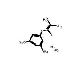 COc1cc([O][Ti]([F])=[C](C)C)cc(C(C)(C)C)c1.Cl.Cl